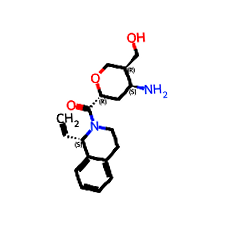 C=C[C@H]1c2ccccc2CCN1C(=O)[C@H]1C[C@H](N)[C@H](CO)CO1